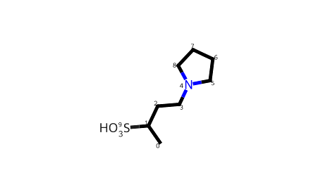 CC(CCN1CCCC1)S(=O)(=O)O